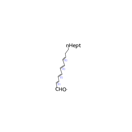 CCCCCCCCC/C=C/C=C/C=C/C=C/[C]=O